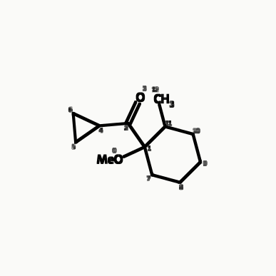 COC1(C(=O)C2CC2)CCCCC1C